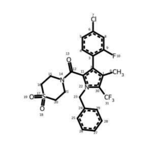 Cc1c(-c2ccc(Cl)cc2F)c(C(=O)N2CCS(=O)(=O)CC2)n(Cc2ccccc2)c1C(F)(F)F